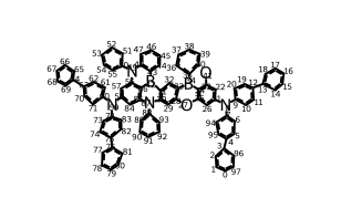 c1ccc(-c2ccc(N(c3ccc(-c4ccccc4)cc3)c3cc4c5c(c3)Oc3cc6c(cc3B5c3ccccc3O4)B3c4ccccc4N(c4ccccc4)c4cc(N(c5ccc(-c7ccccc7)cc5)c5ccc(-c7ccccc7)cc5)cc(c43)N6c3ccccc3)cc2)cc1